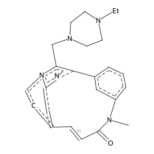 CCN1CCN(Cc2c3nc4cc(ccn24)/C=C/C(=O)N(C)c2cccc-3c2)CC1